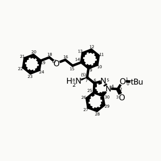 CC(C)(C)OC(=O)n1nc([C@@H](N)c2ccccc2CCOCc2ccccc2)c2ccccc21